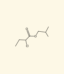 CCC(Cl)C(=O)OCC(C)C